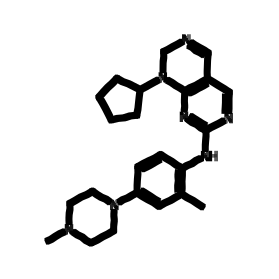 Cc1cc(N2CCN(C)CC2)ccc1Nc1ncc2c(n1)N(C1CCCC1)CN=C2